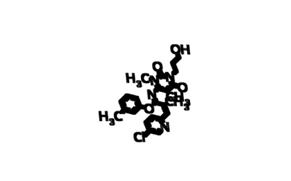 CC(=C/c1ccc(Cl)cn1)/C(=N\c1c(C)c(=O)n(CCCO)c(=O)n1C)Oc1cccc(C)c1